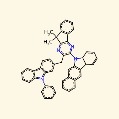 CC1(C)c2ccccc2-c2nc(N3c4cc5ccccc5cc4C4C=CC=CC43)c(Cc3ccc4c5ccccc5n(-c5ccccc5)c4c3)nc21